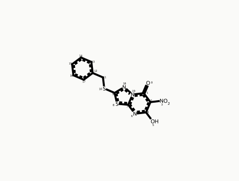 O=c1c([N+](=O)[O-])c(O)nc2sc(SCc3ccccc3)nn12